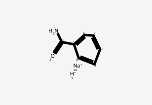 NC(=O)c1ccccc1.[H-].[Na+]